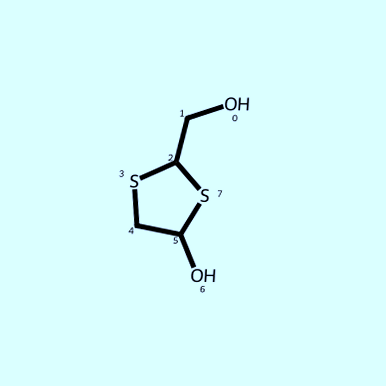 OCC1SCC(O)S1